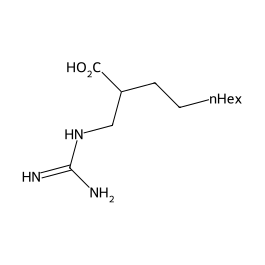 CCCCCCCCC(CNC(=N)N)C(=O)O